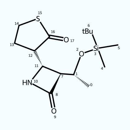 C[C@@H](O[Si](C)(C)C(C)(C)C)[C@H]1C(=O)N[C@@H]1C1CCSC1=O